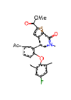 COC(=O)c1cc2c(-c3cc(C(C)=O)ccc3Oc3c(C)cc(F)cc3C)cn(C)c(=O)c2s1